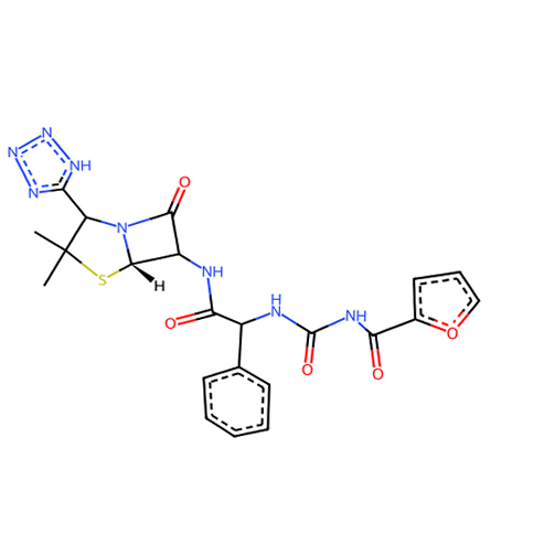 CC1(C)S[C@H]2C(NC(=O)C(NC(=O)NC(=O)c3ccco3)c3ccccc3)C(=O)N2C1c1nnn[nH]1